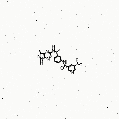 Cc1n[nH]c2ncc(N[C@@H](C)c3cccc(NC(=O)c4cncc(C(F)F)c4)c3)nc12